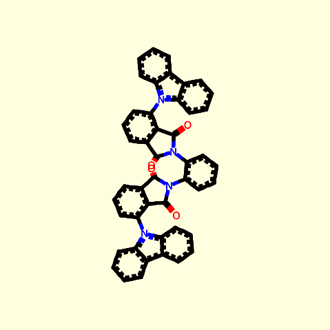 O=C1c2cccc(-n3c4ccccc4c4ccccc43)c2C(=O)N1c1ccccc1N1C(=O)c2cccc(-n3c4ccccc4c4ccccc43)c2C1=O